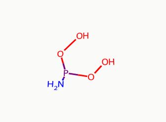 NP(OO)OO